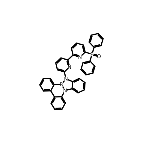 O=P(c1ccccc1)(c1ccccc1)c1cccc(-c2cccc(N3B4c5ccccc5-c5ccccc5N4c4ccccc43)n2)n1